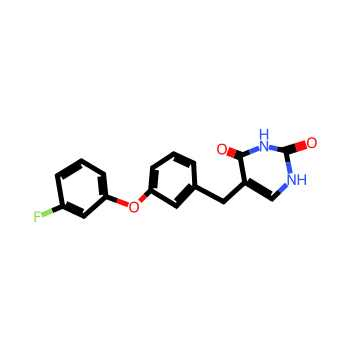 O=c1[nH]cc(Cc2cccc(Oc3cccc(F)c3)c2)c(=O)[nH]1